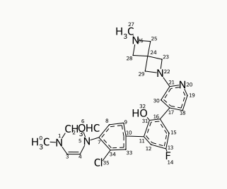 CN(C)/C=C\N(C=O)c1ccc(-c2cc(F)cc(-c3ccnc(N4CC5(CN(C)C5)C4)c3)c2O)cc1Cl